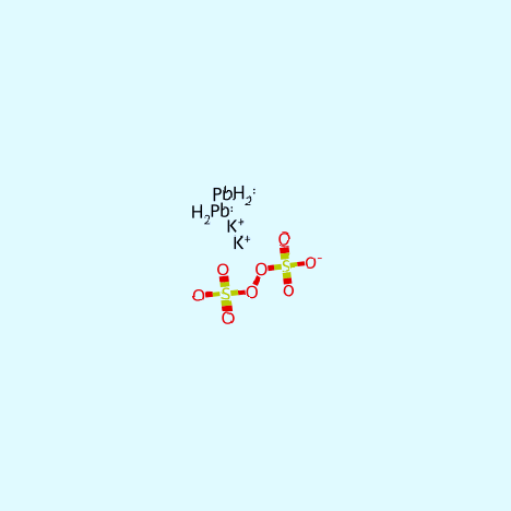 O=S(=O)([O-])OOS(=O)(=O)[O-].[K+].[K+].[PbH2].[PbH2]